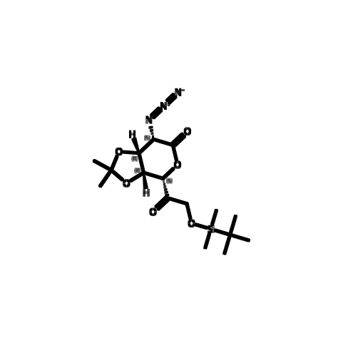 CC1(C)O[C@@H]2[C@H](O1)[C@H](N=[N+]=[N-])C(=O)O[C@@H]2C(=O)CO[Si](C)(C)C(C)(C)C